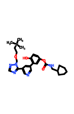 C[Si](C)(C)CCOCn1ncnc1-c1cncc(-c2cc(OC(=O)NCC3CCCCC3)ccc2O)c1